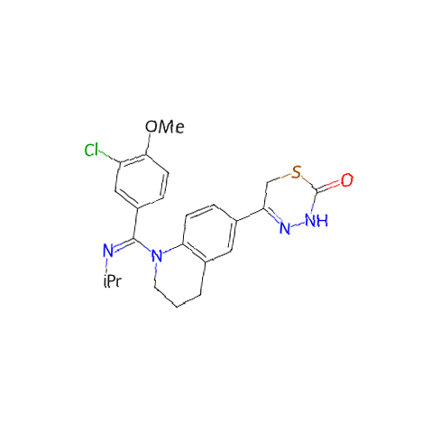 COc1ccc(/C(=N/C(C)C)N2CCCc3cc(C4=NNC(=O)SC4)ccc32)cc1Cl